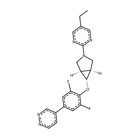 CCc1cnc(N2C[C@@H]3[C@H](C2)[C@H]3Oc2c(F)cc(-c3ccnnc3)cc2F)nc1